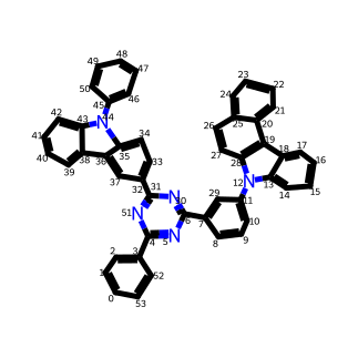 c1ccc(-c2nc(-c3cccc(-n4c5ccccc5c5c6ccccc6ccc54)c3)nc(-c3ccc4c(c3)c3ccccc3n4-c3ccccc3)n2)cc1